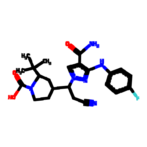 CC(C)(C)C1CC(C(CC#N)n2cc(C(N)=O)c(Nc3ccc(F)cc3)n2)CCN1C(=O)O